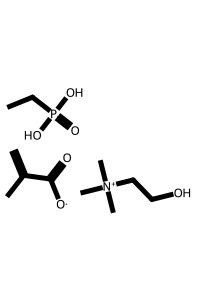 C=C(C)C([O])=O.CCP(=O)(O)O.C[N+](C)(C)CCO